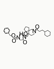 O=C1CN(C(=O)OCc2ccccc2)CCN1CC1(O)CCN(C(=O)CCC2CCCCC2)CC12CCCC2